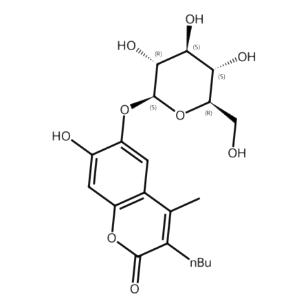 CCCCc1c(C)c2cc(O[C@@H]3O[C@H](CO)[C@@H](O)[C@H](O)[C@H]3O)c(O)cc2oc1=O